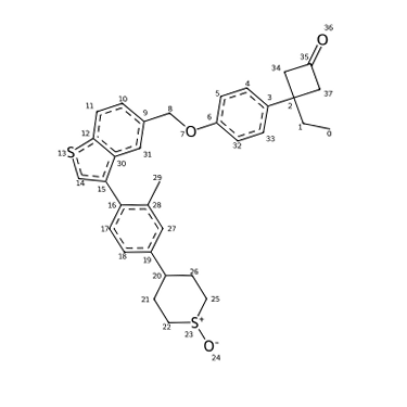 CCC1(c2ccc(OCc3ccc4scc(-c5ccc(C6CC[S+]([O-])CC6)cc5C)c4c3)cc2)CC(=O)C1